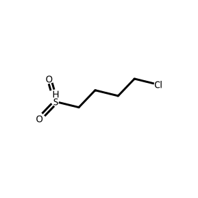 O=[SH](=O)CCCCCl